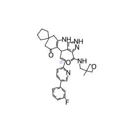 CC1(CNC(=O)c2n[nH]c3c2C(/C=C/c2ccc(-c4cccc(F)c4)cn2)C2=C(CC4(CCCC4)CC2=O)N3)COC1